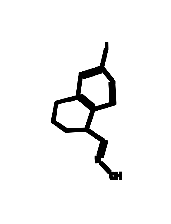 ON=CC1CCCc2cc(I)ccc21